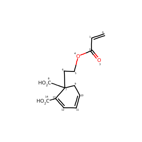 C=CC(=O)OCCC1(C(=O)O)CC=CC=C1C(=O)O